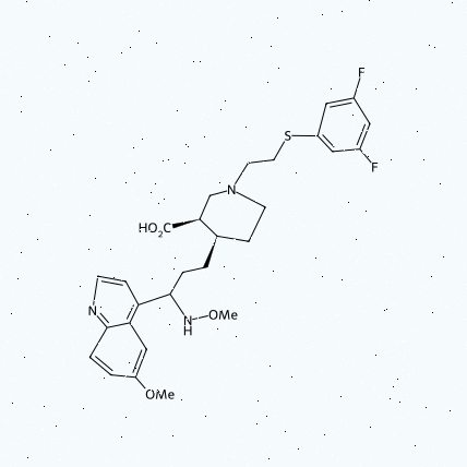 CONC(CC[C@@H]1CCN(CCSc2cc(F)cc(F)c2)C[C@@H]1C(=O)O)c1ccnc2ccc(OC)cc12